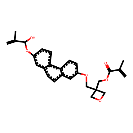 C=C(C)C(=O)OCC1(COc2ccc3c(ccc4cc(OC(O)C(=C)C)ccc43)c2)COC1